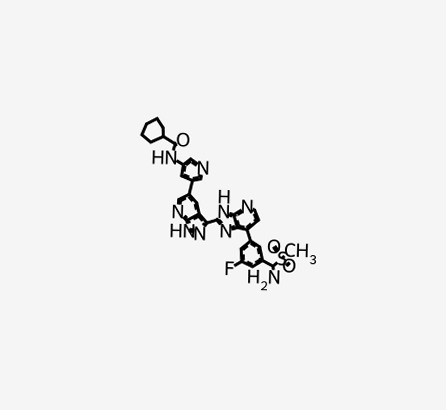 CS(=O)(=O)C(N)c1cc(F)cc(-c2ccnc3[nH]c(-c4n[nH]c5ncc(-c6cncc(NC(=O)C7CCCCC7)c6)cc45)nc23)c1